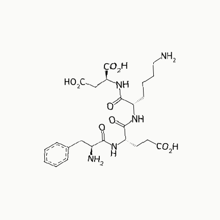 NCCCC[C@H](NC(=O)[C@H](CCC(=O)O)NC(=O)[C@@H](N)Cc1ccccc1)C(=O)N[C@@H](CC(=O)O)C(=O)O